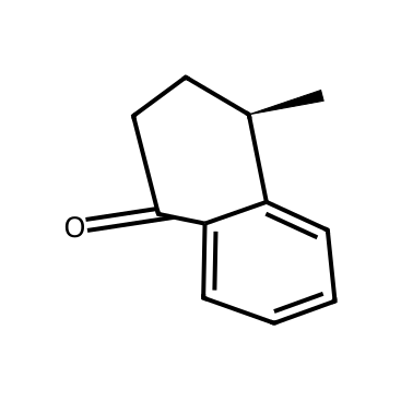 C[C@@H]1CCC(=O)c2ccccc21